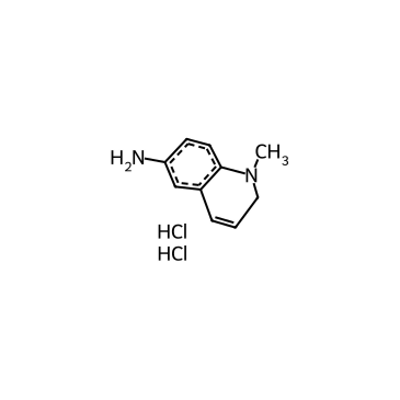 CN1CC=Cc2cc(N)ccc21.Cl.Cl